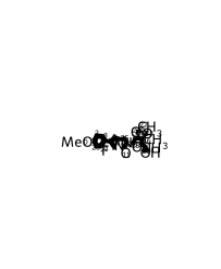 COc1ccc(-c2cc3n(c2)C(=O)N(CCC(C)(C(=O)NO)S(C)(=O)=O)C3)c(F)c1